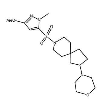 COc1cc(S(=O)(=O)N2CCC3(CCC(N4CCOCC4)C3)CC2)n(C)n1